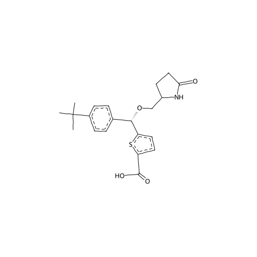 CC(C)(C)c1ccc([C@H](OCC2CCC(=O)N2)c2ccc(C(=O)O)s2)cc1